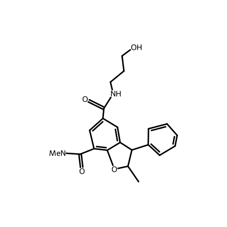 CNC(=O)c1cc(C(=O)NCCCO)cc2c1OC(C)C2c1ccccc1